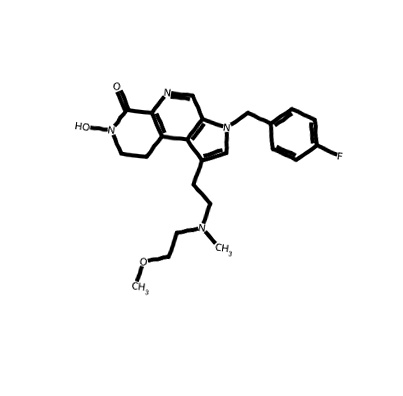 COCCN(C)CCc1cn(Cc2ccc(F)cc2)c2cnc3c(c12)CCN(O)C3=O